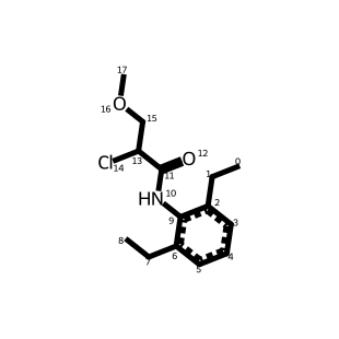 CCc1cccc(CC)c1NC(=O)C(Cl)COC